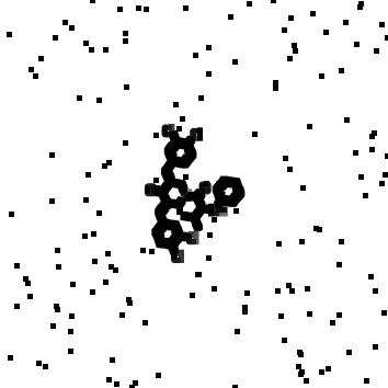 CC(C)C(Nc1ccccc1)C(=O)N1C/C(=C\c2ccc(Cl)c(Cl)c2)C(=O)/C(=C/c2ccc(Cl)c(Cl)c2)C1